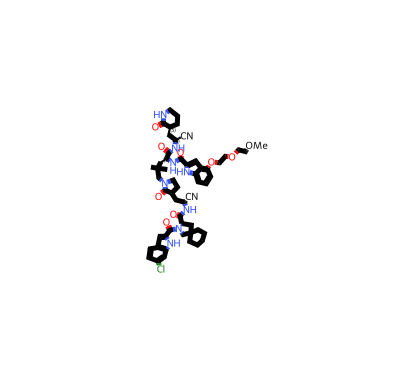 COCCOCCOc1cccc2[nH]c(C(=O)N[C@@H](CC(C)(C)CN3CCC(CC(C#N)NC(=O)C4CC5(CCCCC5)CN4C(=O)c4cc5ccc(Cl)cc5[nH]4)C3=O)C(=O)N[C@H](C#N)C[C@@H]3CCCNC3=O)cc12